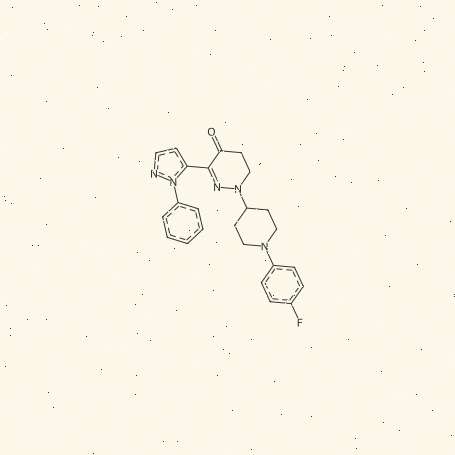 O=C1CCN(C2CCN(c3ccc(F)cc3)CC2)N=C1c1ccnn1-c1ccccc1